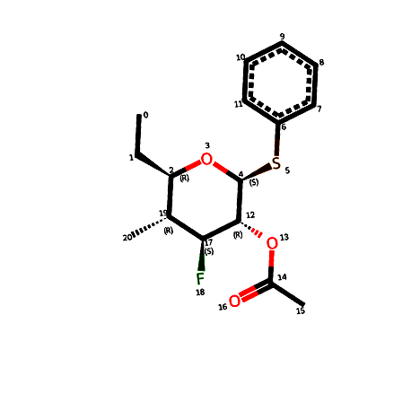 CC[C@H]1O[C@@H](Sc2ccccc2)[C@H](OC(C)=O)[C@@H](F)[C@@H]1C